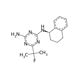 CC(C)(F)c1nc(N)nc(N[C@@H]2CCCc3ccccc32)n1